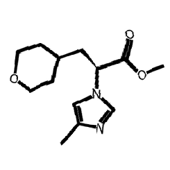 COC(=O)[C@H](CC1CCOCC1)n1cnc(C)c1